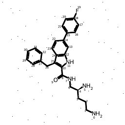 NCCC[C@H](N)CNC(=O)c1[nH]c2cc(-c3ccc(F)cc3)ccc2c1Cc1ccccc1